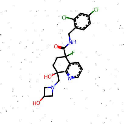 O=C(NCc1ccc(Cl)cc1Cl)C1(F)CCC(O)(CN2CC(O)C2)c2ncccc21